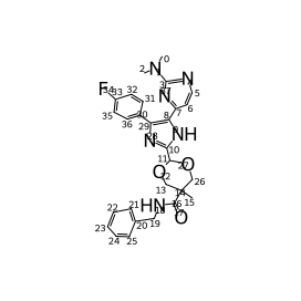 CN(C)c1nccc(-c2[nH]c(C3OCC(C)(C(=O)NCc4ccccc4)CO3)nc2-c2ccc(F)cc2)n1